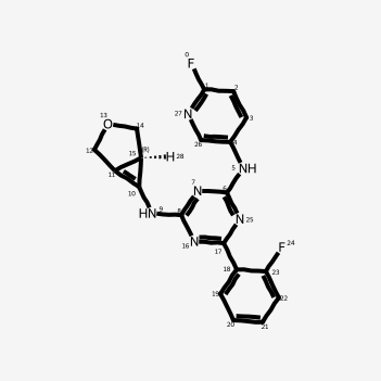 Fc1ccc(Nc2nc(NC3=C4COC[C@H]43)nc(-c3ccccc3F)n2)cn1